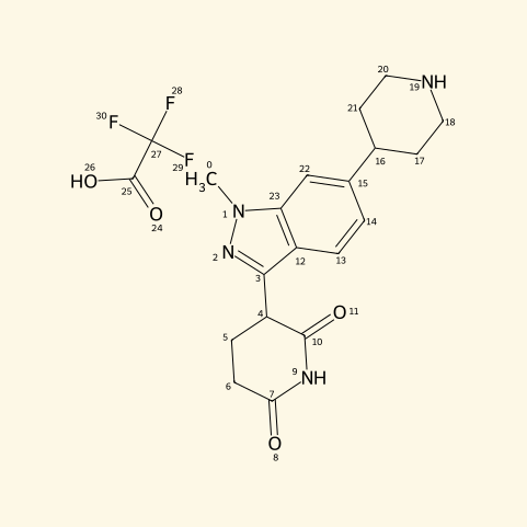 Cn1nc(C2CCC(=O)NC2=O)c2ccc(C3CCNCC3)cc21.O=C(O)C(F)(F)F